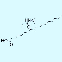 CCC(=O)NN(C)C.CCCCCCCCCCCCCCCCCC(=O)O